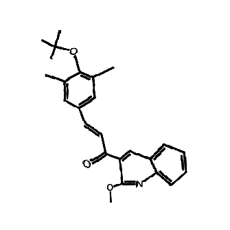 COc1nc2ccccc2cc1C(=O)/C=C/c1cc(C)c(OC(C)(C)C)c(C)c1